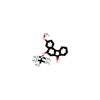 COc1ccc2c3c(cc(O[Si](C)(C)C(C)(C)C)c2c1)C(=O)c1ccccc1-3